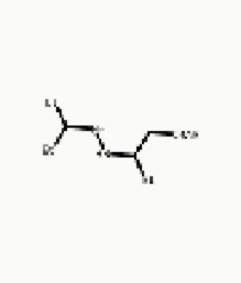 CCC(CC)NNC(CC)COC